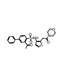 CC(=O)c1cc(-c2ccccc2)ccc1S(=O)(=O)Nc1ccsc1CC(=O)N1CCOCC1